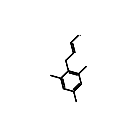 [CH2]C=CCc1c(C)cc(C)cc1C